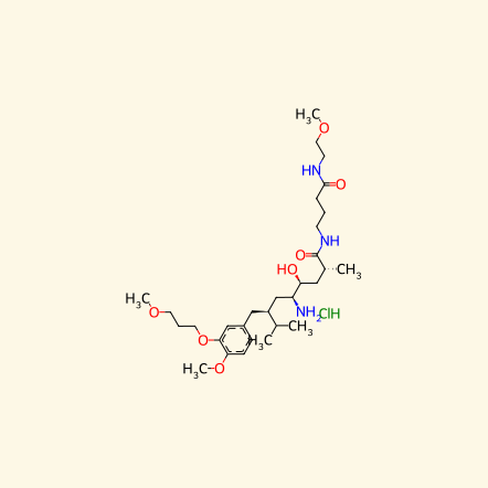 COCCCOc1cc(C[C@@H](C[C@H](N)[C@@H](O)C[C@@H](C)C(=O)NCCCC(=O)NCCOC)C(C)C)ccc1OC.Cl